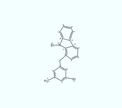 CCc1cc(C)cc(Cc2cccc3c4ccccc4n(CC)c23)c1